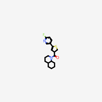 O=C(C1C=C(c2ccc(F)nc2)SC1)N1CCCC2CCCCC21